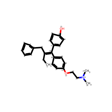 CCC(Cc1ccccc1)=C(c1ccc(O)cc1)c1ccc(OCCN(C)C)cc1